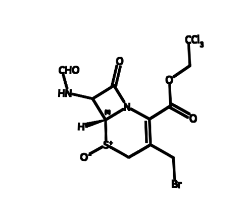 O=CNC1C(=O)N2C(C(=O)OCC(Cl)(Cl)Cl)=C(CBr)C[S+]([O-])[C@H]12